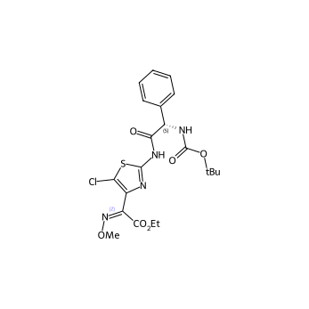 CCOC(=O)/C(=N\OC)c1nc(NC(=O)[C@@H](NC(=O)OC(C)(C)C)c2ccccc2)sc1Cl